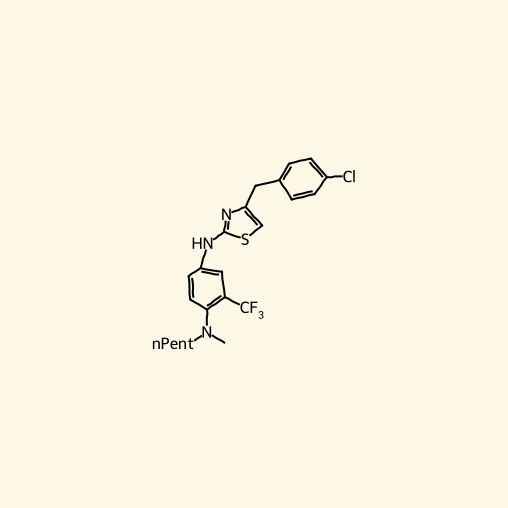 CCCCCN(C)c1ccc(Nc2nc(Cc3ccc(Cl)cc3)cs2)cc1C(F)(F)F